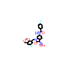 O=C(Nc1ccc2c(c1)N(Cc1cc(F)cc3c1OCOC3)C(=O)/C2=N\O)c1ccc(F)cc1